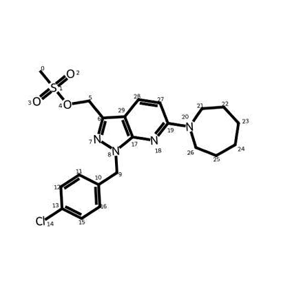 CS(=O)(=O)OCc1nn(Cc2ccc(Cl)cc2)c2nc(N3CCCCCC3)ccc12